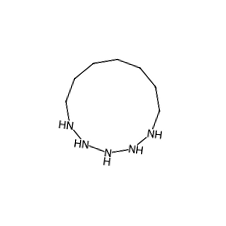 C1CCCNNNNNCCC1